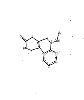 CC(C)NN1CC2=C(CNC(=O)C2)c2cccnc21